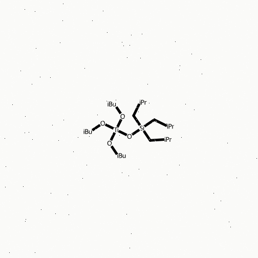 CCC(C)[O][Ti]([O]C(C)CC)([O]C(C)CC)[O][Si](CC(C)C)(CC(C)C)CC(C)C